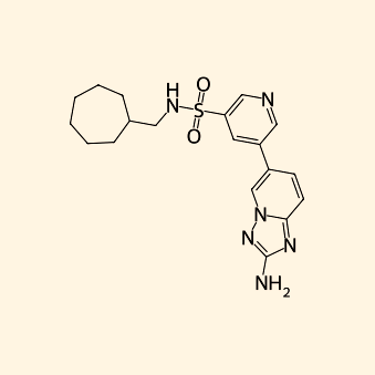 Nc1nc2ccc(-c3cncc(S(=O)(=O)NCC4CCCCCC4)c3)cn2n1